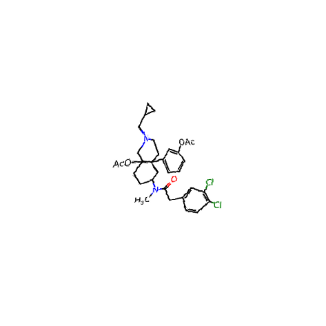 CC(=O)Oc1cccc(C23CCN(CC4CC4)CC2(OC(C)=O)CCC(N(C)C(=O)Cc2ccc(Cl)c(Cl)c2)C3)c1